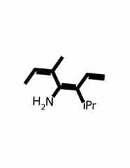 C=C/C(=C(N)\C(C)=C/C)C(C)C